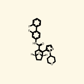 O=C(Nc1ccc(-c2ccccc2F)c(F)c1)C1=C(c2ccnn2C2CCOCC2)[C@@H]2CC[C@H](C1)O2